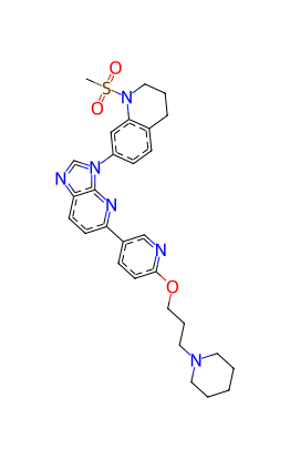 CS(=O)(=O)N1CCCc2ccc(-n3cnc4ccc(-c5ccc(OCCCN6CCCCC6)nc5)nc43)cc21